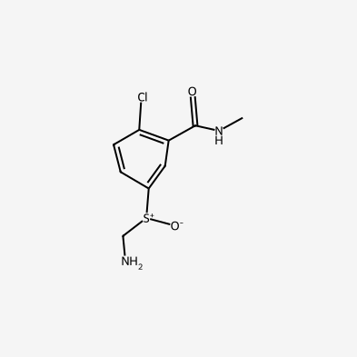 CNC(=O)c1cc([S+]([O-])CN)ccc1Cl